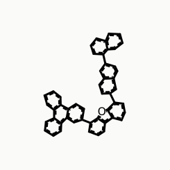 c1ccc2c(-c3ccc4cc(-c5cccc6c5oc5c(-c7ccc8c9ccccc9c9ccccc9c8c7)cccc56)ccc4c3)cccc2c1